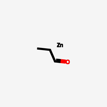 CCC=O.[Zn]